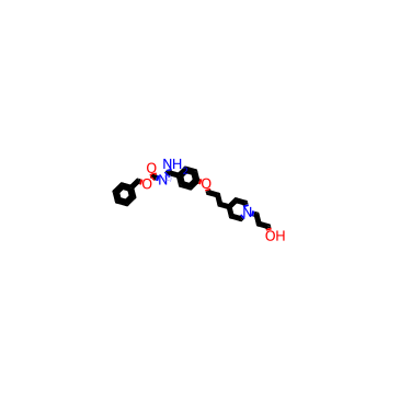 N/C(=N\C(=O)OCc1ccccc1)c1ccc(OCCCC2CCN(CCCO)CC2)cc1